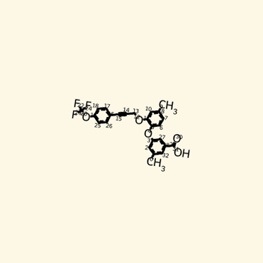 Cc1cc(Oc2ccc(C)cc2OCC#Cc2ccc(OC(F)(F)F)cc2)cc(C(=O)O)c1